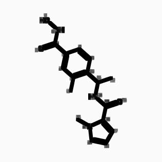 Cc1cc(C(=O)NO)ccc1C(C)NC(=O)c1cccn1C